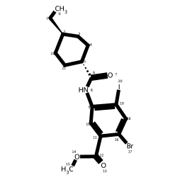 CC[C@H]1CC[C@H](C(=O)Nc2cc(C(=O)OC)c(Br)cc2I)CC1